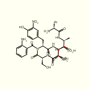 CCCC[C@H](NC(=O)[C@H](C)NC(=O)[C@@H](N)C(C)C)C(=O)N[C@@H](CO)C(=O)N(C(=O)c1ccccc1N)[C@@H](Cc1ccc(O)c([N+](=O)[O-])c1)C(=O)N[C@@H](CC(=O)O)C(N)=O